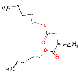 C=C(CC(=O)OCCCCC)C(=O)OCCCCC